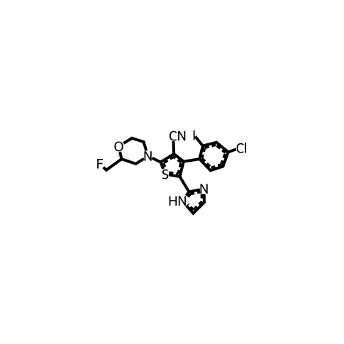 N#Cc1c(N2CCOC(CF)C2)sc(-c2ncc[nH]2)c1-c1ccc(Cl)cc1I